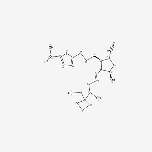 CCC1(C(O)C/C=C/C2[C@@H](CCCc3ccc(C(=O)O)s3)C(C#N)C[C@H]2O)CCC1